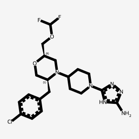 Nc1nnc(N2CCC(N3C[C@H](COC(F)F)OC[C@@H]3Cc3ccc(Cl)cc3)CC2)[nH]1